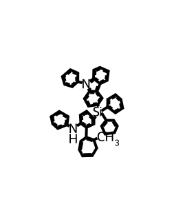 CC1=C(c2cc([Si](C3=CCCC=C3)(c3ccccc3)c3ccc4c(c3)c3ccccc3n4-c3ccccc3)ccc2Nc2ccccc2)C=CC=CC1